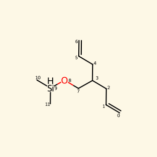 C=CCC(CC=C)CO[SiH](C)C